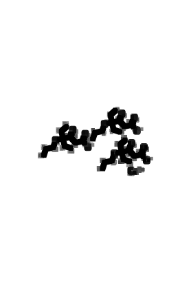 CCCOC(CC)(CC)C(=O)CC(=O)[O-].CCCOC(CC)(CC)C(=O)CC(=O)[O-].CCCOC(CC)(CC)C(=O)CC(=O)[O-].[Ga+3]